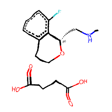 CNC[C@@H]1OCCc2cccc(F)c21.O=C(O)CCC(=O)O